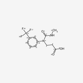 CNC(=O)N(CCC(=O)O)c1cccc(C(F)(F)F)c1